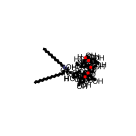 CCCCCCCCCCCCC/C=C/[C@@H](O)[C@H](CO[C@@H]1OC(CO)[C@@H](O[C@@H]2OC(CO)[C@H](O)[C@H](O[C@@H]3OC(CO)[C@@H](O[C@@H]4OC(CO)[C@H](O[C@@H]5OC(CO)[C@H](O)[C@H](O)C5NC(C)=O)[C@H](O[C@]5(C(=O)O)CC(O)[C@@H](NC(C)=O)C([C@H](O)[C@H](O)CO)O5)C4O)[C@H](O)C3NC(C)=O)C2O)[C@H](O)C1O)NC(=O)CCCCCCCCCCCCCCC